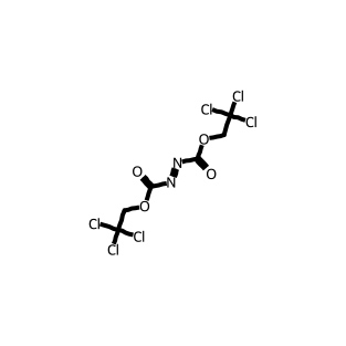 O=C(N=NC(=O)OCC(Cl)(Cl)Cl)OCC(Cl)(Cl)Cl